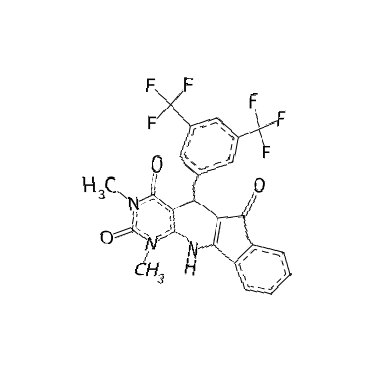 Cn1c2c(c(=O)n(C)c1=O)C(c1cc(C(F)(F)F)cc(C(F)(F)F)c1)C1=C(N2)c2ccccc2C1=O